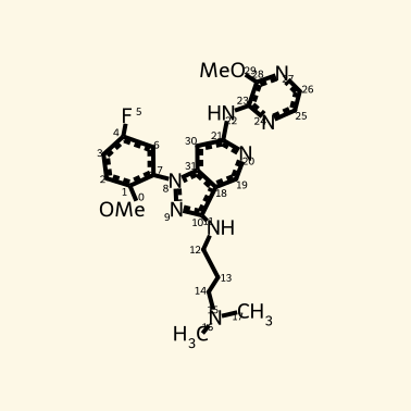 COc1ccc(F)cc1-n1nc(NCCCN(C)C)c2cnc(Nc3nccnc3OC)cc21